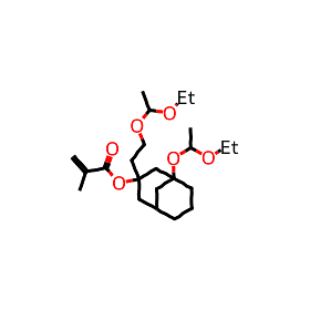 C=C(C)C(=O)OC1(CCOC(C)OCC)CC2CCCC(OC(C)OCC)(C2)C1